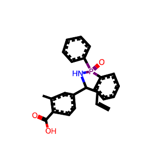 C=CCC(NP(=O)(c1ccccc1)c1ccccc1)c1ccc(C(=O)O)c(C)c1